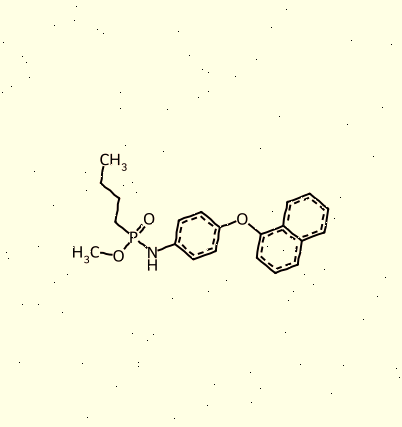 CCCCP(=O)(Nc1ccc(Oc2cccc3ccccc23)cc1)OC